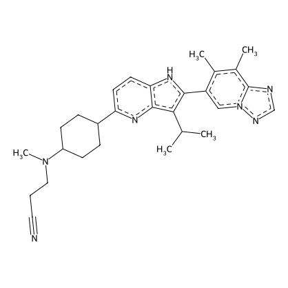 Cc1c(-c2[nH]c3ccc(C4CCC(N(C)CCC#N)CC4)nc3c2C(C)C)cn2ncnc2c1C